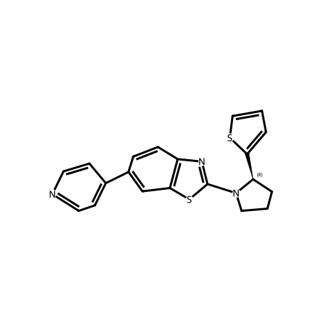 c1csc([C@H]2CCCN2c2nc3ccc(-c4ccncc4)cc3s2)c1